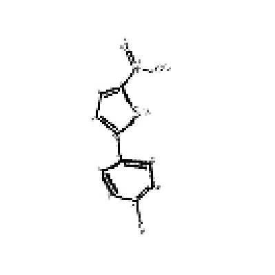 O=[N+]([O-])c1ccc(-c2ccc(F)cc2)s1